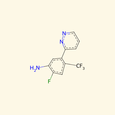 Nc1cc(-c2cccnn2)c(C(F)(F)F)cc1F